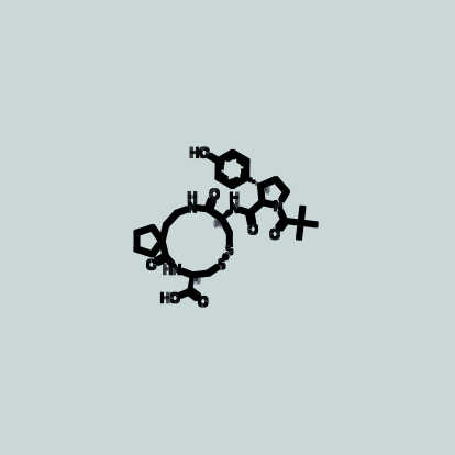 CC(C)(C)C(=O)N1CC[C@@H](c2ccc(O)cc2)C1C(=O)N[C@H]1CSSC[C@@H](C(=O)O)NC(=O)C2(CCCC2)CCNC1=O